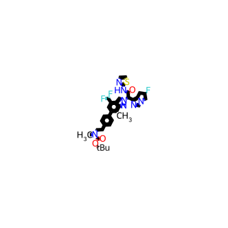 Cc1c(-c2ccc(CCN(C)C(=O)OC(C)(C)C)cc2)cc(C(F)F)c2cn(C(C(=O)Nc3nccs3)c3ncn4c3C[C@@H](F)C4)nc12